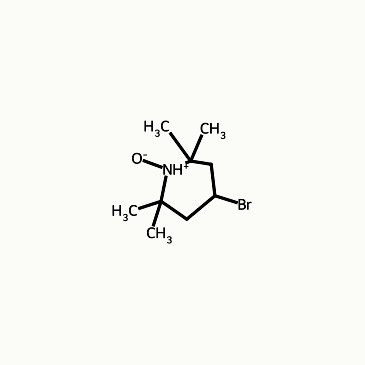 CC1(C)CC(Br)CC(C)(C)[NH+]1[O-]